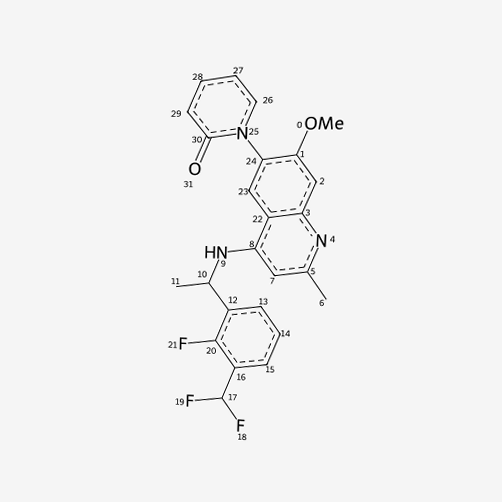 COc1cc2nc(C)cc(NC(C)c3cccc(C(F)F)c3F)c2cc1-n1ccccc1=O